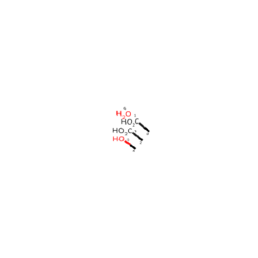 CC(=O)O.CC(=O)O.CO.O